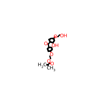 C=C(C)C(=O)OCCOc1ccc(C(=O)c2ccc(OCCO)cc2)c(O)c1